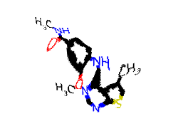 CNC(=O)c1ccc(Nc2ncnc3scc(C)c23)c(OC)c1